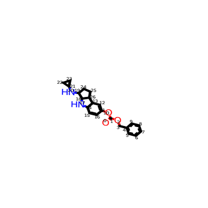 O=C(OCc1ccccc1)OC1=CC2C(C=C1)NC1C(NC3CC3)CCC21